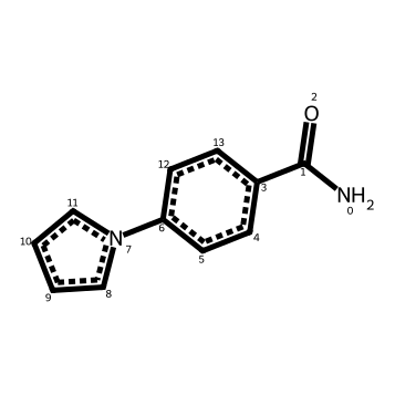 NC(=O)c1ccc(-n2cccc2)cc1